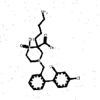 NCCCCC1(C(=O)O)CN(Cc2ccccc2-c2ccc(Cl)cc2Cl)CCP1(=O)O